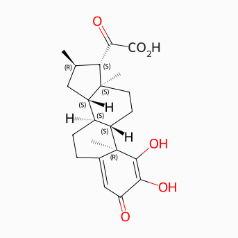 C[C@@H]1C[C@H]2[C@@H]3CCC4=CC(=O)C(O)=C(O)[C@]4(C)[C@H]3CC[C@]2(C)[C@H]1C(=O)C(=O)O